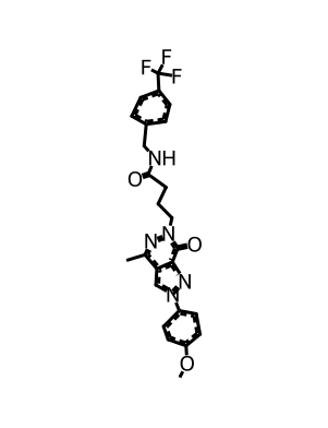 COc1ccc(-n2cc3c(C)nn(CCCC(=O)NCc4ccc(C(F)(F)F)cc4)c(=O)c3n2)cc1